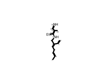 C=C/C(=C\C/C=C/C)CN/C(CC)=C(\C)C=N